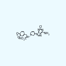 Nc1nc(Cl)nc2c1ncn2[C@H]1C=CC[C@@H](CN(Cc2ccc3c(c2)OCO3)C(=O)O)C1